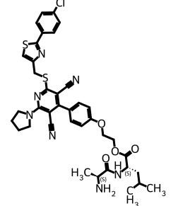 CC(C)C[C@H](NC(=O)[C@H](C)N)C(=O)OCCOc1ccc(-c2c(C#N)c(SCc3csc(-c4ccc(Cl)cc4)n3)nc(N3CCCC3)c2C#N)cc1